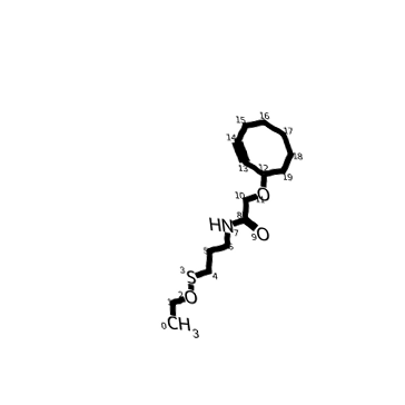 CCOSCCCNC(=O)COC1C#CCCCCC1